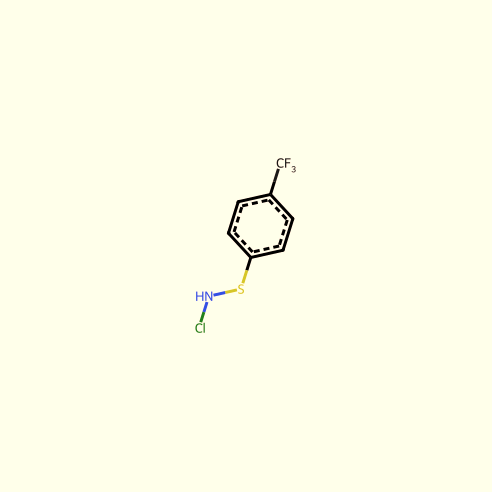 FC(F)(F)c1ccc(SNCl)cc1